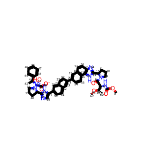 COC(=O)N[C@H](C(=O)N1CCCC1c1nc2ccc3cc(-c4ccc5cc(-c6cnc(C7CCCN7[N+](O)(C(=O)[O-])C(C)c7ccccc7)[nH]6)ccc5c4)ccc3c2[nH]1)[C@@H](C)OC